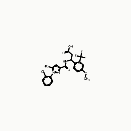 COc1ccc(C(CC(=O)O)NC(=O)c2cc(O)n(-c3ccccc3Cl)n2)c(C(F)(F)F)c1